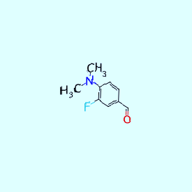 CN(C)c1ccc(C=O)cc1F